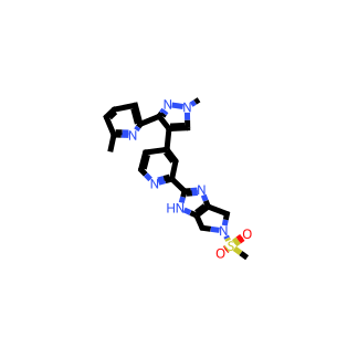 Cc1cccc(-c2nn(C)cc2-c2ccnc(-c3nc4c([nH]3)CN(S(C)(=O)=O)C4)c2)n1